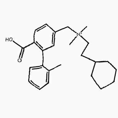 Cc1ccccc1-c1cc(C[N+](C)(C)CCC2CCCCC2)ccc1C(=O)O